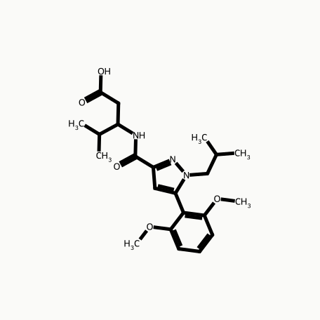 COc1cccc(OC)c1-c1cc(C(=O)NC(CC(=O)O)C(C)C)nn1CC(C)C